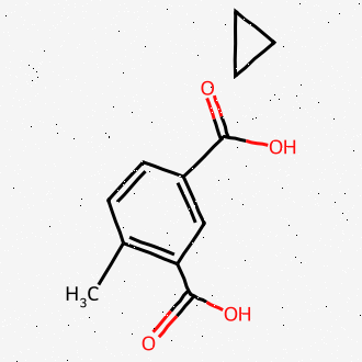 C1CC1.Cc1ccc(C(=O)O)cc1C(=O)O